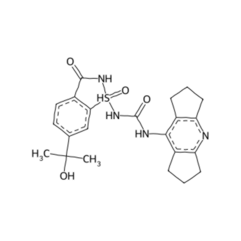 CC(C)(O)c1ccc2c(c1)[SH](=O)(NC(=O)Nc1c3c(nc4c1CCC4)CCC3)NC2=O